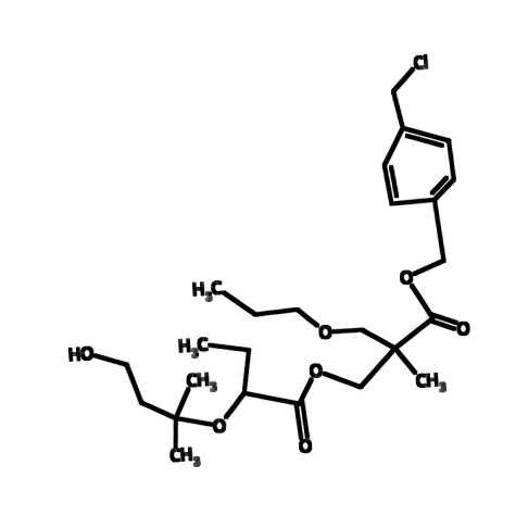 CCCOCC(C)(COC(=O)C(CC)OC(C)(C)CCO)C(=O)OCc1ccc(CCl)cc1